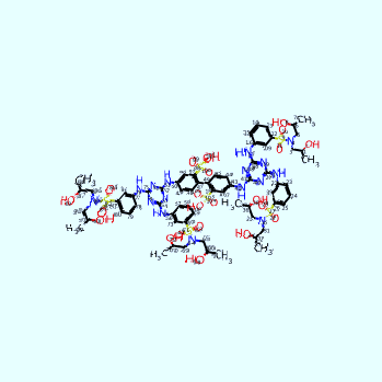 CC(O)CN(CC(C)O)S(=O)(=O)c1cccc(Nc2nc(Nc3cccc(S(=O)(=O)N(CC(C)O)CC(C)O)c3)nc(Nc3ccc(-c4ccc(Nc5nc(Nc6cccc(S(=O)(=O)N(CC(C)O)CC(C)O)c6)nc(Nc6cccc(S(=O)(=O)N(CC(C)O)CC(C)O)c6)n5)cc4S(=O)(=O)O)c(S(=O)(=O)O)c3)n2)c1